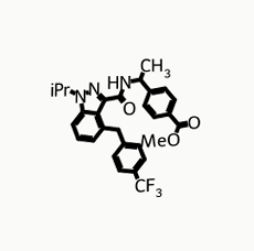 COC(=O)c1ccc(C(C)NC(=O)c2nn(C(C)C)c3cccc(Cc4ccc(C(F)(F)F)cc4)c23)cc1